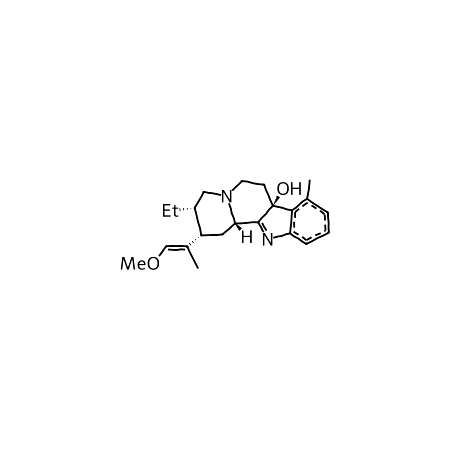 CC[C@@H]1CN2CC[C@@]3(O)C(=Nc4cccc(C)c43)[C@@H]2C[C@@H]1/C(C)=C/OC